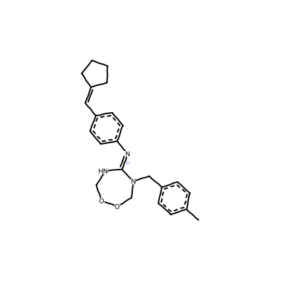 Cc1ccc(CN2COOCN/C2=N\c2ccc(C=C3CCCC3)cc2)cc1